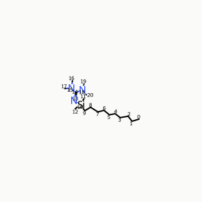 CCCCCCCCCC[Si](C)(C)N=C(N(C)C)N(C)C